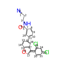 N#CCCNC(=O)c1cccc(-c2ccc3occ(-c4ccc(Cl)cc4Cl)c3c2)c1